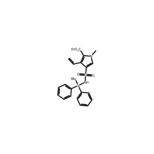 C=Cc1c(S(=O)(=O)N[Si](c2ccccc2)(c2ccccc2)C(C)(C)C)cn(C)c1C(=O)OCC